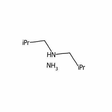 CC(C)CNCC(C)C.N